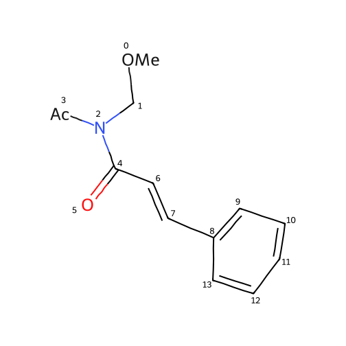 COCN(C(C)=O)C(=O)/C=C/c1ccccc1